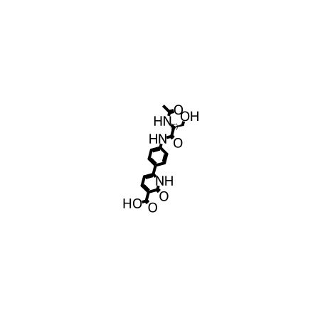 CC(=O)N[C@@H](CO)C(=O)Nc1ccc(-c2ccc(C(=O)O)c(=O)[nH]2)cc1